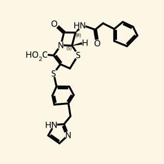 O=C(Cc1ccccc1)N[C@@H]1C(=O)N2C(C(=O)O)=C(Sc3ccc(Cc4ncc[nH]4)cc3)CS[C@@H]12